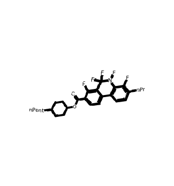 CCCCCC1CCC(OC(=O)c2ccc3c(c2F)C(F)(F)N(F)c2c-3ccc(CCC)c2F)CC1